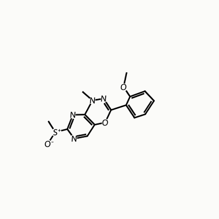 COc1ccccc1C1=NN(C)c2nc([S+](C)[O-])ncc2O1